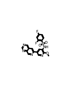 COc1ncc(-c2cc3cncnc3cn2)cc1NS(=O)(=O)c1ccc(F)cc1F